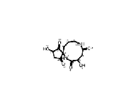 O=C1CC(O)C(=O)NC2(CCCN1)C(=O)CC(O)C2=O